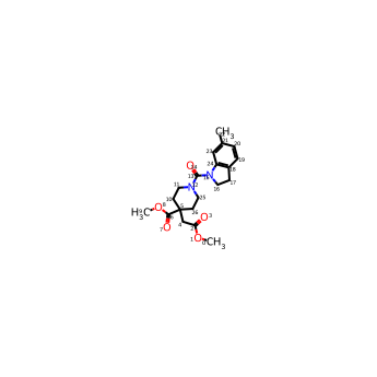 COC(=O)CC1(C(=O)OC)CCN(C(=O)N2CCc3ccc(C)cc32)CC1